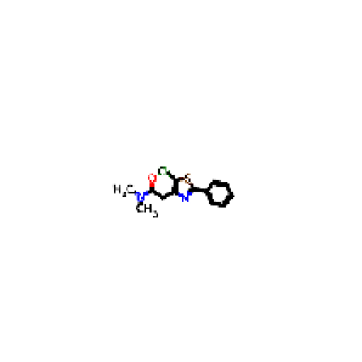 CN(C)C(=O)Cc1nc(-c2ccccc2)sc1Cl